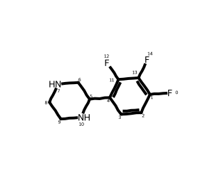 Fc1ccc(C2CNCCN2)c(F)c1F